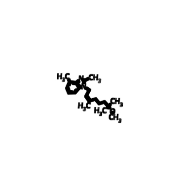 COC(C)(C)CCCC(C)=CCn1c(C)nc2c(C)cccc21